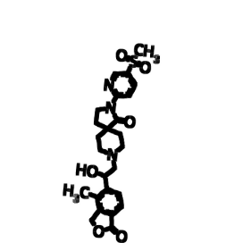 Cc1c(C(O)CN2CCC3(CC2)CCN(c2ccc(S(C)(=O)=O)cn2)C3=O)ccc2c1COC2=O